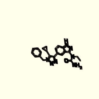 CCN(C(N)=O)c1n[nH]c2ccc(-c3nnn(Cc4ccccc4)c3C3CC3)cc12